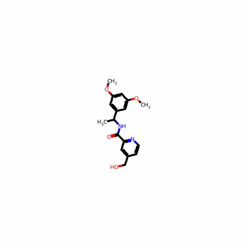 COc1cc(OC)cc(C(C)NC(=O)c2cc(CO)ccn2)c1